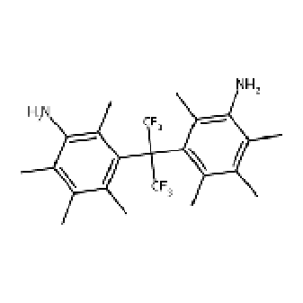 Cc1c(C)c(N)c(C)c(C(c2c(C)c(C)c(C)c(N)c2C)(C(F)(F)F)C(F)(F)F)c1C